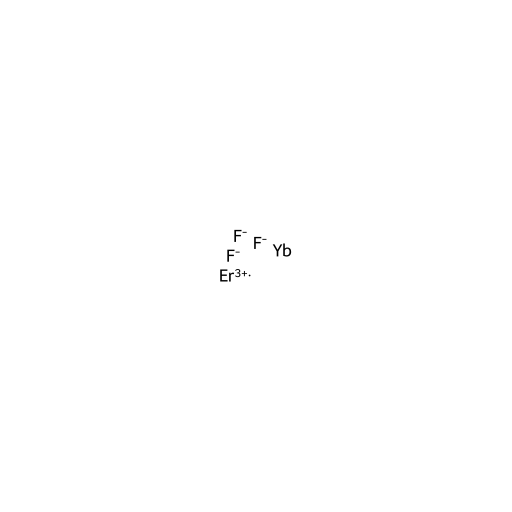 [Er+3].[F-].[F-].[F-].[Yb]